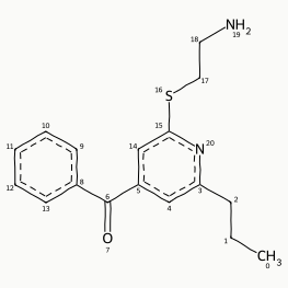 CCCc1cc(C(=O)c2ccccc2)cc(SCCN)n1